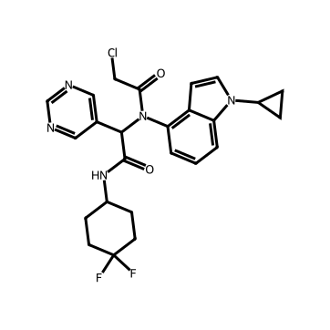 O=C(NC1CCC(F)(F)CC1)C(c1cncnc1)N(C(=O)CCl)c1cccc2c1ccn2C1CC1